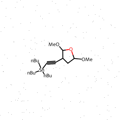 CCC[CH2][Sn]([C]#CC1CC(OC)OC1OC)([CH2]CCC)[CH2]CCC